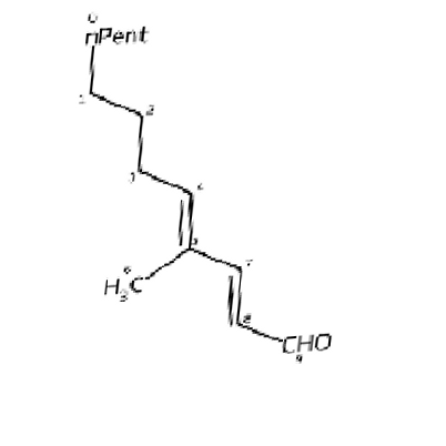 CCCCCCCC/C=C(C)/C=C/C=O